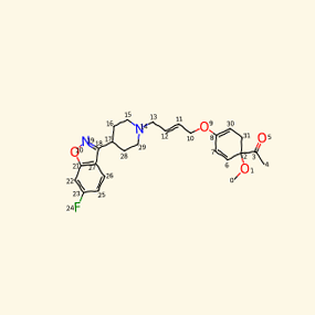 COC1(C(C)=O)C=CC(OCC=CCN2CCC(c3noc4cc(F)ccc34)CC2)=CC1